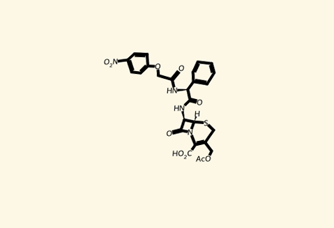 CC(=O)OCC1=C(C(=O)O)N2C(=O)[C@@H](NC(=O)[C@@H](NC(=O)COc3ccc([N+](=O)[O-])cc3)c3ccccc3)[C@H]2SC1